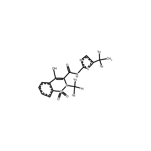 [2H]C([2H])(C)c1cnc(NC(=O)C2=C(O)c3ccccc3S(=O)(=O)N2C([2H])([2H])[2H])s1